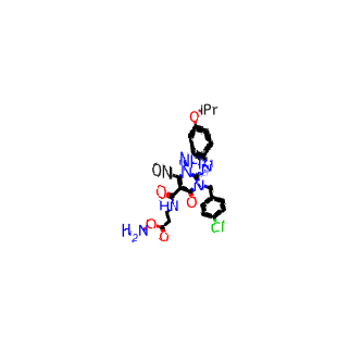 CC(C)Oc1ccc(/N=c2\n(N)c(N=O)c(C(=O)NCCC(=O)ON)c(=O)n2Cc2ccc(Cl)cc2)cc1